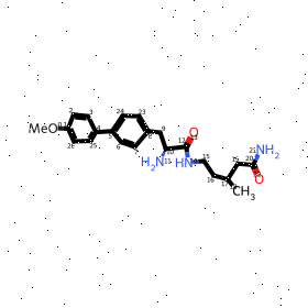 COc1ccc(-c2ccc(C[C@H](N)C(=O)NCCC(C)CC(N)=O)cc2)cc1